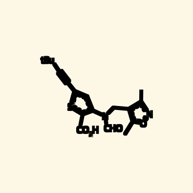 Cc1noc(C)c1CN(C=O)c1cc(C#CC(C)(C)C)sc1C(=O)O